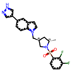 C[C@H]1C[C@H](Cn2ccc3cc(-c4cn[nH]c4)ccc32)CN1S(=O)(=O)c1cccc(F)c1F